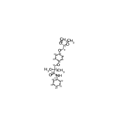 COC(COc1ccc(OCC(C)(C)C(=O)Nc2ccccc2)cc1)OC